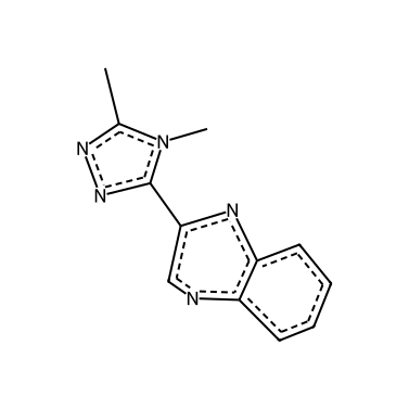 Cc1nnc(-c2cnc3ccccc3n2)n1C